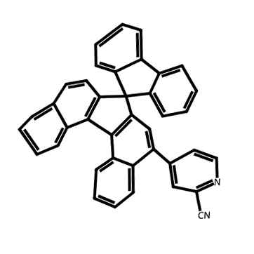 N#Cc1cc(-c2cc3c(c4ccccc24)-c2c(ccc4ccccc24)C32c3ccccc3-c3ccccc32)ccn1